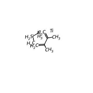 C=C(C)C(=C)C.C[SiH2]C.[Ti]